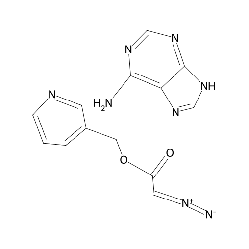 Nc1ncnc2[nH]cnc12.[N-]=[N+]=CC(=O)OCc1cccnc1